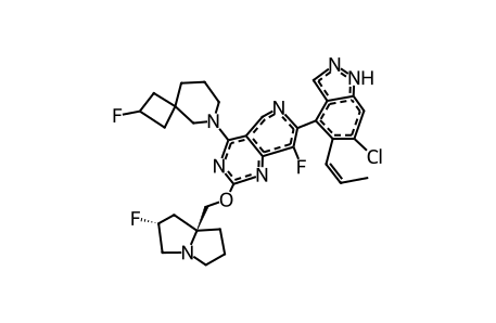 C/C=C\c1c(Cl)cc2[nH]ncc2c1-c1ncc2c(N3CCCC4(CC(F)C4)C3)nc(OC[C@@]34CCCN3C[C@H](F)C4)nc2c1F